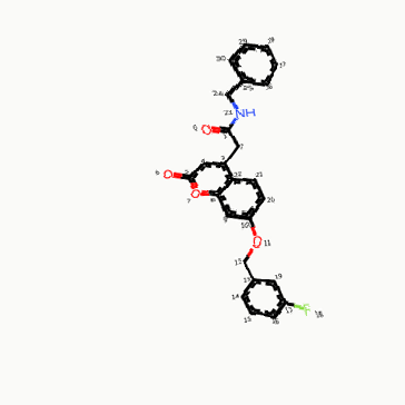 O=C(Cc1cc(=O)oc2cc(OCc3cccc(F)c3)ccc12)NCc1ccccc1